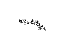 CC1(NC(=O)O[C@H]2C[C@@H](c3cnc(Nc4ccc(S(N)(=O)=O)cc4)nc3)C2)CC1